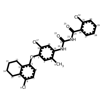 Cc1cc(Oc2ccc(Cl)c3c2CCCC3)c(Cl)cc1NC(=O)NC(=O)c1ccccc1Cl